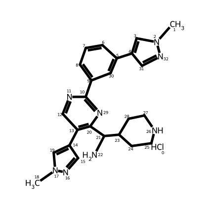 Cl.Cn1cc(-c2cccc(-c3ncc(-c4cnn(C)c4)c(C(N)C4CCNCC4)n3)c2)cn1